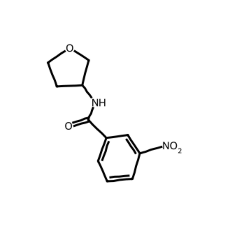 O=C(NC1CCOC1)c1cccc([N+](=O)[O-])c1